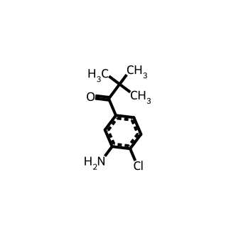 CC(C)(C)C(=O)c1ccc(Cl)c(N)c1